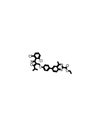 CCOC(=O)c1nc(C)c2cc(-c3ccc(OCc4c(-c5c(Cl)cccc5Cl)noc4C(C)C)cc3)ccc2n1